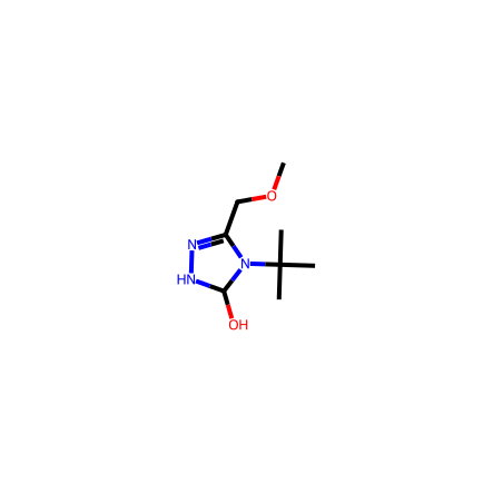 COCC1=NNC(O)N1C(C)(C)C